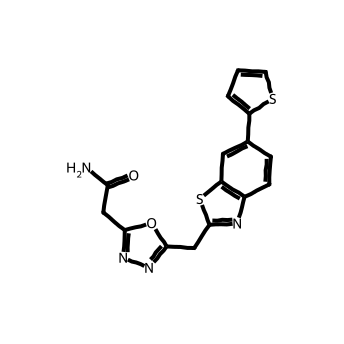 NC(=O)Cc1nnc(Cc2nc3ccc(-c4cccs4)cc3s2)o1